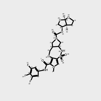 Cn1cc2c(c1C(=O)Nc1cc(F)c(F)c(F)c1)OCC1CN(C(=O)O[C@H]3CO[C@H]4OCC[C@H]43)CC1NS2(=O)=O